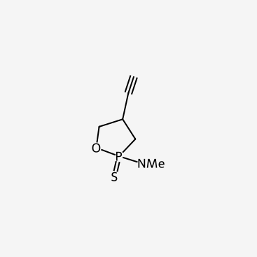 C#CC1COP(=S)(NC)C1